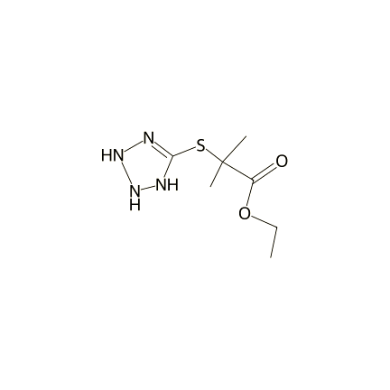 CCOC(=O)C(C)(C)SC1=NNNN1